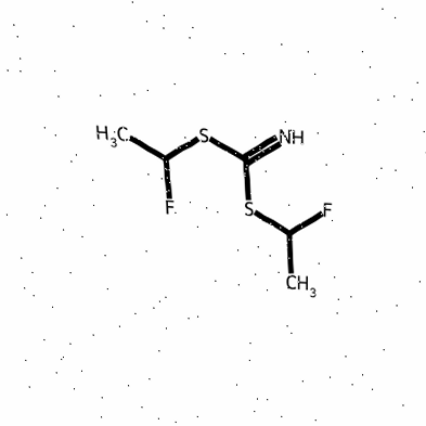 CC(F)SC(=N)SC(C)F